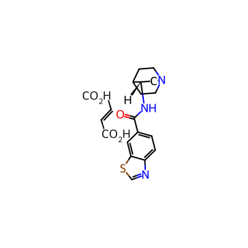 O=C(N[C@H]1CN2CCC1CC2)c1ccc2ncsc2c1.O=C(O)/C=C/C(=O)O